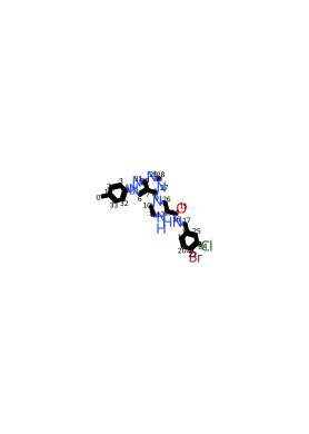 Cc1ccc(-n2cc3c(N4CCNC(C(=O)NCc5ccc(Br)c(Cl)c5)C4)ncnc3n2)cc1